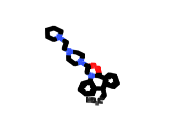 O=C(O)CC1c2ccccc2C(=O)N(CC(=O)N2CCN(CCN3CCCCC3)CC2)c2ccccc21